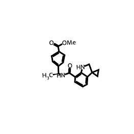 COC(=O)c1ccc([C@H](C)NC(=O)c2cccc3c2NCC32CC2)cc1